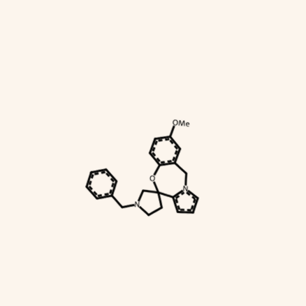 COc1ccc2c(c1)Cn1cccc1C1(CCN(Cc3ccccc3)C1)O2